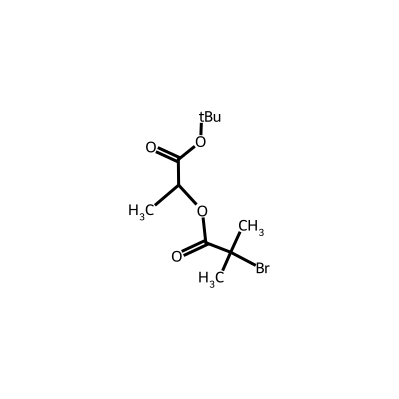 CC(OC(=O)C(C)(C)Br)C(=O)OC(C)(C)C